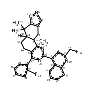 CC1(C)c2oncc2C[C@@]2(C)c3nc(-c4cc(CF)nc5ccccc45)nc(-c4ccccc4F)c3CC[C@H]12